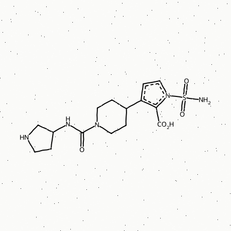 NS(=O)(=O)n1ccc(C2CCN(C(=O)NC3CCNC3)CC2)c1C(=O)O